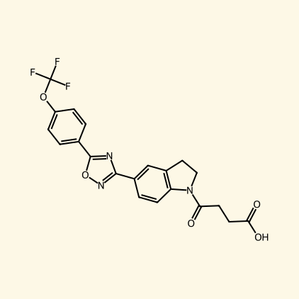 O=C(O)CCC(=O)N1CCc2cc(-c3noc(-c4ccc(OC(F)(F)F)cc4)n3)ccc21